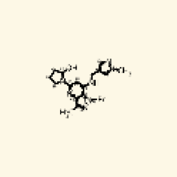 Cc1nn(C(C)C)c2c(NCc3cnn(C)c3)cc(N3CCCC3O)nc12